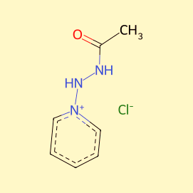 CC(=O)NN[n+]1ccccc1.[Cl-]